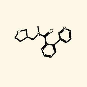 CN(CC1CCOC1)C(=O)c1ccccc1-c1cccnc1